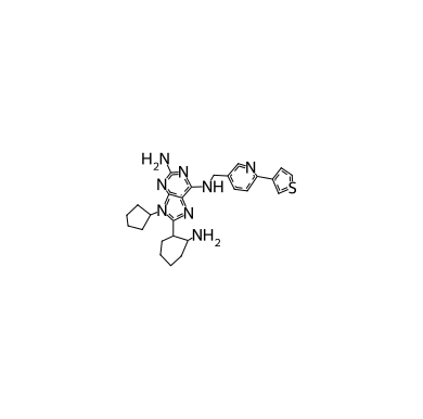 Nc1nc(NCc2ccc(-c3ccsc3)nc2)c2nc(C3CCCCC3N)n(C3CCCC3)c2n1